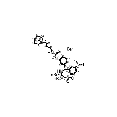 CCCCC1(CCCC)CS(=O)(=O)c2ccc(N(C)CC)cc2C(c2cccc(NC(=S)NCCC[N+]34CCC(CC3)CC4)c2)N1.[Br-]